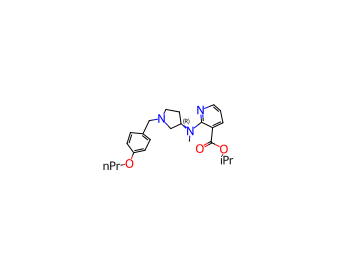 CCCOc1ccc(CN2CC[C@@H](N(C)c3ncccc3C(=O)OC(C)C)C2)cc1